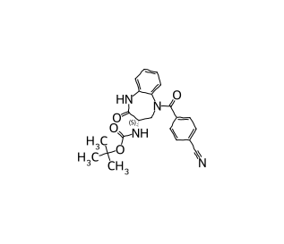 CC(C)(C)OC(=O)N[C@H]1CN(C(=O)c2ccc(C#N)cc2)c2ccccc2NC1=O